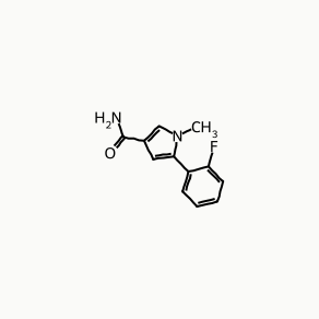 Cn1cc(C(N)=O)cc1-c1ccccc1F